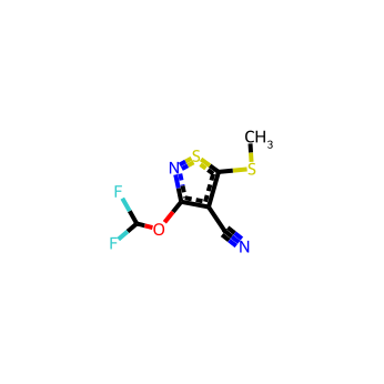 CSc1snc(OC(F)F)c1C#N